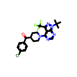 CC(C)(C)n1nc(C(F)(F)F)c2c(N3CCC(C(=O)c4ccc(Cl)cc4)CC3)ncnc21